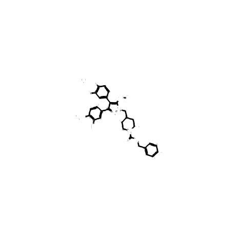 CCOc1c(-c2ccc(OC)c(F)c2)c(-c2ccc(C#N)c(F)c2)nn1CC1CCN(C(=O)OCc2ccccc2)CC1